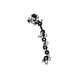 O=C1CC[C@@H](Oc2ccc(N3CCN(CC(=O)N4CCC(NC(=O)c5ccc(C#Cc6cc(F)c7c(c6)C(=O)N([C@@H](C(=O)Nc6nccs6)c6ncn8c6CCC8)C7)cn5)CC4)CC3)cc2)C(=O)N1